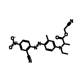 CCN(c1ccc(N=Nc2ccc([N+](=O)[O-])cc2C#N)c(C)c1)C(C)C(=O)OCC#N